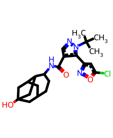 CC(C)(C)n1ncc(C(=O)NC2CCC3CC4CC(O)(C3)CC42)c1-c1cc(Cl)on1